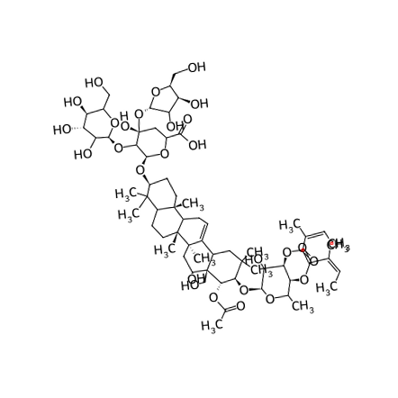 C/C=C(/C)C(=O)O[C@@H]1C(O)[C@H](O[C@H]2[C@H](OC(C)=O)[C@@]3(CO)C(CC2(C)C)C2=CCC4[C@@]5(C)CC[C@H](O[C@@H]6OC(C(=O)O)C[C@@](O)(O[C@@H]7O[C@@H](CO)[C@@H](O)C7O)C6O[C@@H]6OC(CO)[C@H](O)[C@@H](O)C6O)C(C)(C)C5CC[C@@]4(C)[C@]2(C)C[C@H]3O)OC(C)[C@@H]1OC(=O)/C(C)=C\C